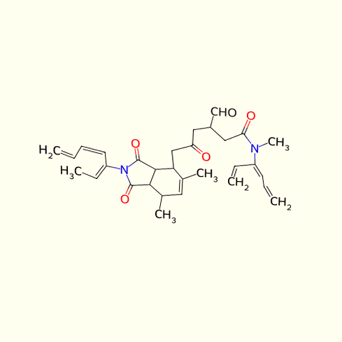 C=C/C=C\C(=C/C)N1C(=O)C2C(C)C=C(C)C(CC(=O)CC(C=O)CC(=O)N(C)/C(C=C)=C/C=C)C2C1=O